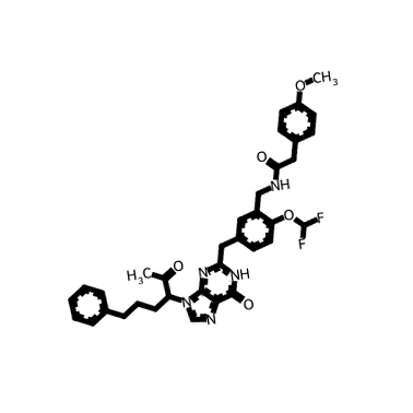 COc1ccc(CC(=O)NCc2cc(Cc3nc4c(ncn4C(CCCc4ccccc4)C(C)=O)c(=O)[nH]3)ccc2OC(F)F)cc1